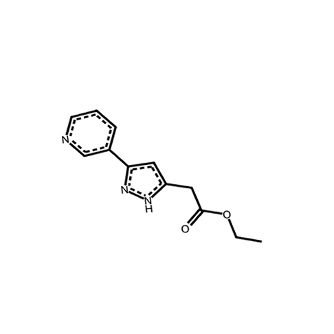 CCOC(=O)Cc1cc(-c2cccnc2)n[nH]1